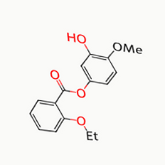 CCOc1ccccc1C(=O)Oc1ccc(OC)c(O)c1